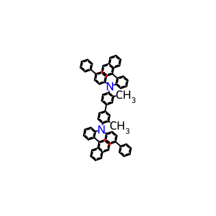 Cc1cc(-c2ccc(N(c3ccc(-c4ccccc4)cc3)c3ccccc3-c3cccc4ccccc34)c(C)c2)ccc1N(c1ccc(-c2ccccc2)cc1)c1ccccc1-c1cccc2ccccc12